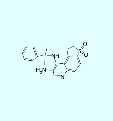 CC(C)(Nc1c(N)cnc2ccc3c(c12)CCS3(=O)=O)c1ccccc1